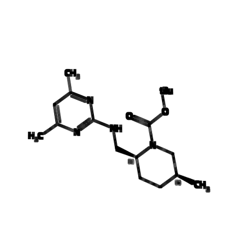 Cc1cc(C)nc(NC[C@@H]2CC[C@H](C)CN2C(=O)OC(C)(C)C)n1